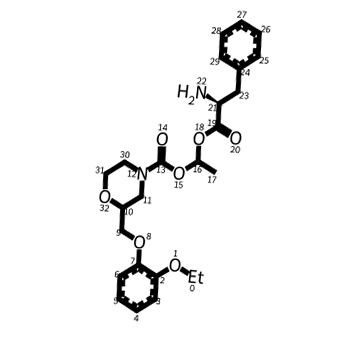 CCOc1ccccc1OCC1CN(C(=O)OC(C)OC(=O)[C@@H](N)Cc2ccccc2)CCO1